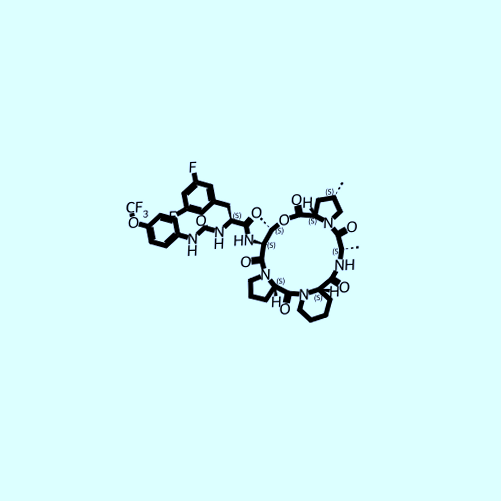 C[C@H]1C[C@H]2C(=O)O[C@@H](C)[C@H](NC(=O)[C@H](Cc3cc(F)cc(F)c3)NC(=O)Nc3ccc(OC(F)(F)F)cc3)C(=O)N3CCC[C@H]3C(=O)N3CCCC[C@H]3C(=O)N[C@@H](C)C(=O)N2C1